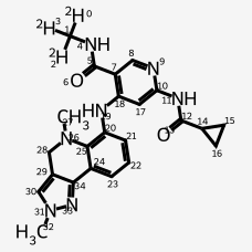 [2H]C([2H])([2H])NC(=O)c1cnc(NC(=O)C2CC2)cc1Nc1cccc2c1N(C)Cc1cn(C)nc1-2